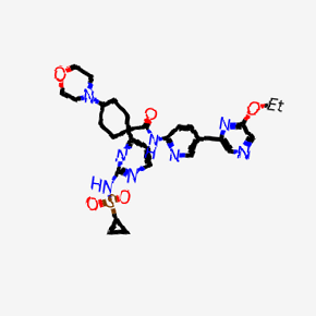 CCOc1cncc(-c2ccc(NC(=O)C3(c4ccnc(NS(=O)(=O)C5CC5)n4)CCC(N4CCOCC4)CC3)nc2)n1